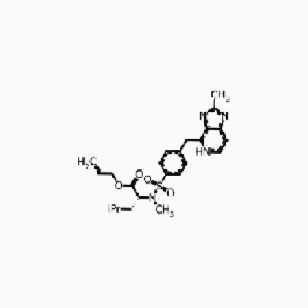 C=CCOC(=O)[C@@H](CC(C)C)N(C)S(=O)(=O)c1ccc(Cc2[nH]ccc3nc(C)nc2-3)cc1